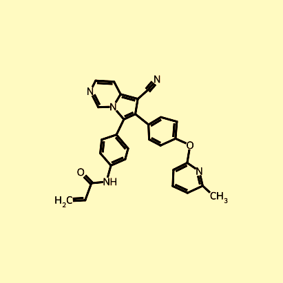 C=CC(=O)Nc1ccc(-c2c(-c3ccc(Oc4cccc(C)n4)cc3)c(C#N)c3ccncn23)cc1